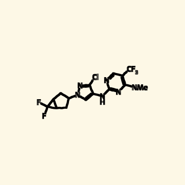 CNc1nc(Nc2cn(C3CC4C(C3)C4(F)F)nc2Cl)ncc1C(F)(F)F